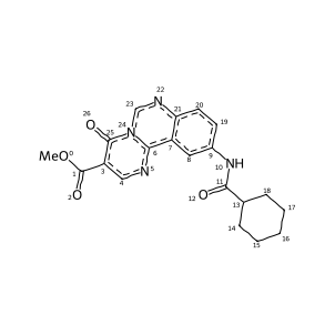 COC(=O)c1cnc2c3cc(NC(=O)C4CCCCC4)ccc3ncn2c1=O